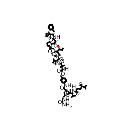 CC[C@H](C)C(/C=[N+](\C)C(=O)[C@@H](NC(=O)C(C)(C)NC(=O)OCc1ccc(NC(=O)[C@H](CCCNC(N)=O)NC(=O)[C@@H](NC(=O)CCC(=O)C(C)C)C(C)C)cc1)C(C)C)[C@@H](CC(=O)N1CCC[C@H]1[C@H](OC)[C@@H](C)C(=O)N[C@@H](Cc1ccccc1)c1nccs1)OC